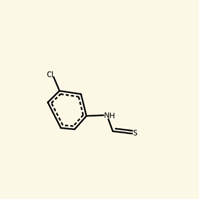 S=CNc1cccc(Cl)c1